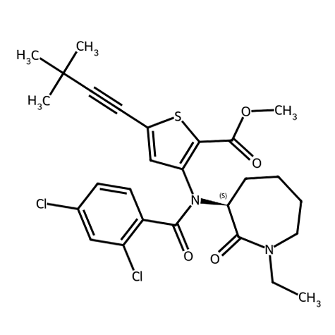 CCN1CCCC[C@H](N(C(=O)c2ccc(Cl)cc2Cl)c2cc(C#CC(C)(C)C)sc2C(=O)OC)C1=O